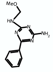 COCNc1nc(N)nc(-c2ccccc2)n1